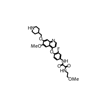 COCCNC(=O)C(=O)Nc1ccc(Oc2ccnc3cc(OCC4CCNCC4)c(OC)cc23)c(F)c1